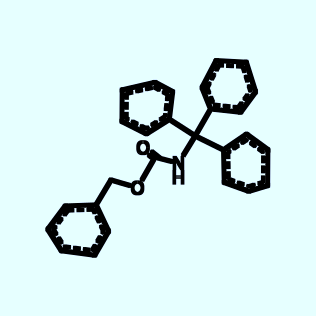 O=C(NC(c1ccccc1)(c1ccccc1)c1ccccc1)OCc1ccccc1